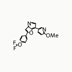 COc1ccc(-c2ccnc3cc(-c4ccc(OC(F)F)cc4)oc23)cn1